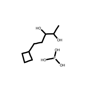 CC(O)C(O)CCC1CCC1.OP(O)O